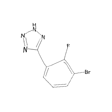 Fc1c(Br)cccc1-c1nn[nH]n1